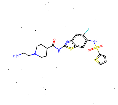 NCCN1CCC(C(=O)Nc2nc3cc(F)c(NS(=O)(=O)c4cccs4)cc3s2)CC1